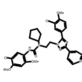 COc1ccc(-c2nc(-c3ccncc3)nn2CCN(C(=O)Nc2cc(Cl)c(OC)cc2OC)C2CCCC2)cc1Cl